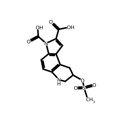 CS(=O)(=O)OC1CNc2ccc3c(cc(C(=O)O)n3C(=O)O)c2C1